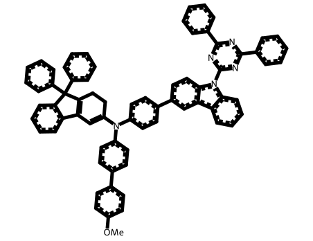 COc1ccc(-c2ccc(N(C3=CC4=C(CC3)C(c3ccccc3)(c3ccccc3)c3ccccc34)c3ccc(-c4ccc5c(c4)c4ccccc4n5-c4nc(-c5ccccc5)nc(-c5ccccc5)n4)cc3)cc2)cc1